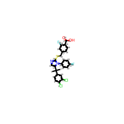 CC(C)(c1ccc(Cl)c(Cl)c1)c1cnc(SCc2ccc(C(=O)O)c(F)c2)n1-c1ccc(F)cc1